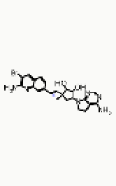 CC1(/C=C/c2ccc3cc(Br)c(N)nc3c2)CC(N2CCc3c(N)ncnc32)C(O)C1O